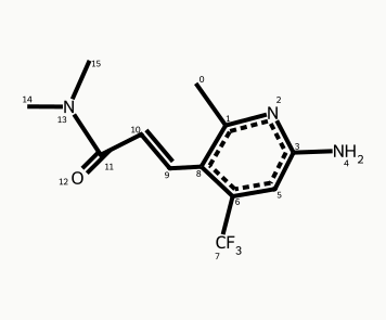 Cc1nc(N)cc(C(F)(F)F)c1/C=C/C(=O)N(C)C